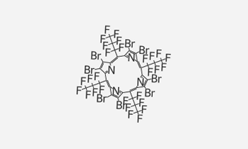 FC(F)(F)C(F)(F)C(F)(F)C1=C2N=C(C(Br)=C2Br)C(C(F)(F)C(F)(F)C(F)(F)F)=C2N=C(C(Br)=C2Br)C(C(F)(F)C(F)(F)C(F)(F)F)=C2N=C(C(Br)=C2Br)C(C(F)(F)C(F)(F)C(F)(F)F)=C2N=C1C(Br)=C2Br